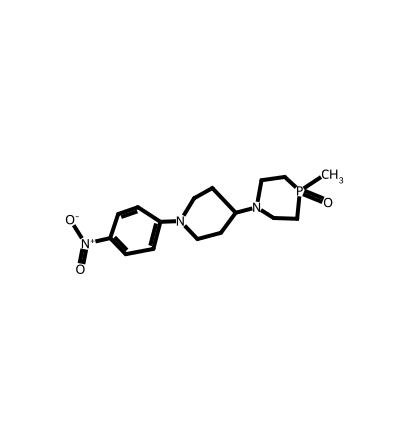 CP1(=O)CCN(C2CCN(c3ccc([N+](=O)[O-])cc3)CC2)CC1